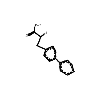 CCCCCC(=O)C(Cl)Cc1ccc(-c2[c]cccc2)cc1